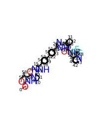 COC(=O)N[C@H](C(=O)N1CCC[C@H]1c1ncc(-c2ccc(-c3ccc(-c4cnc([C@@H]5C6CCC(C6)[C@H]5C(=O)NCc5cccnc5C(F)(F)F)[nH]4)cc3)cc2)[nH]1)C(C)C